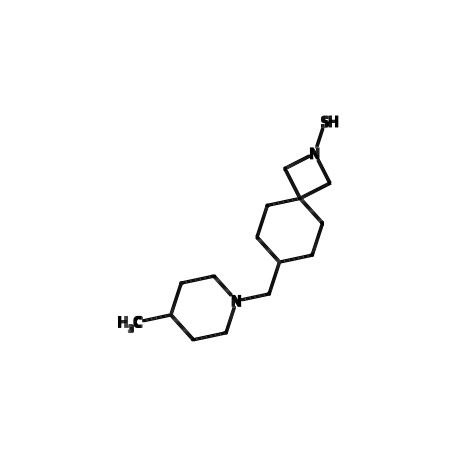 CC1CCN(CC2CCC3(CC2)CN(S)C3)CC1